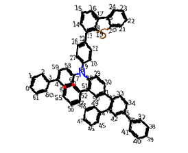 c1ccc(-c2ccc(N(c3ccc(-c4cccc5c4sc4ccccc45)cc3)c3ccc(-c4ccc(-c5ccccc5)cc4-c4ccccc4)cc3-c3ccccc3)cc2)cc1